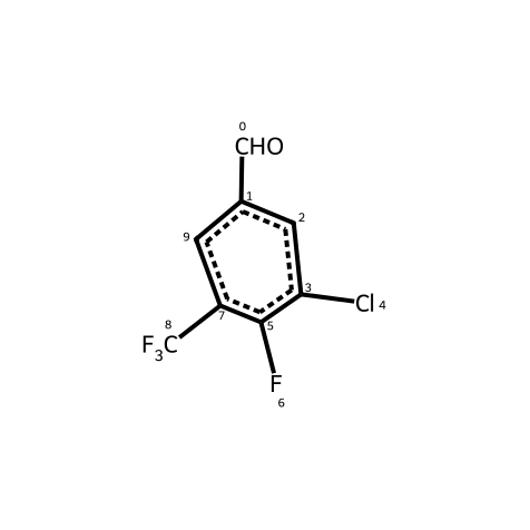 O=Cc1cc(Cl)c(F)c(C(F)(F)F)c1